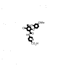 COc1ccc(Oc2cc(C)c(Cl)cc2C(=O)Nc2ccc(C(=O)O)nc2)c(OC)c1